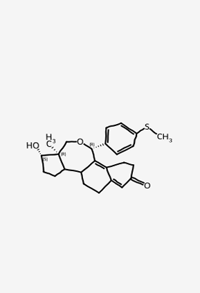 CSc1ccc([C@H]2OC[C@@]3(C)C(CC[C@@H]3O)C3CCC4=CC(=O)CCC4=C32)cc1